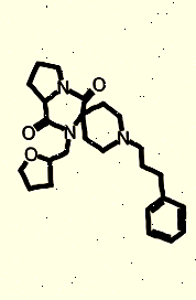 O=C1C2CCCN2C(=O)C2(CCN(CCCc3ccccc3)CC2)N1CC1CCCO1